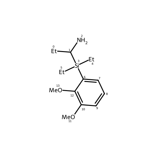 CCC(N)[Si](CC)(CC)c1cccc(OC)c1OC